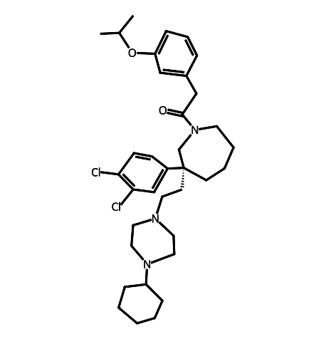 CC(C)Oc1cccc(CC(=O)N2CCCC[C@@](CCN3CCN(C4CCCCC4)CC3)(c3ccc(Cl)c(Cl)c3)C2)c1